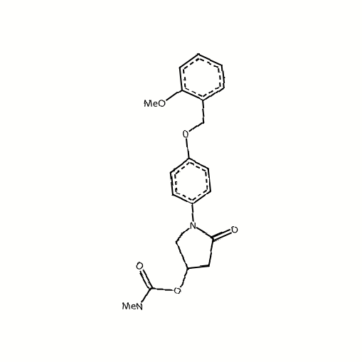 CNC(=O)OC1CC(=O)N(c2ccc(OCc3ccccc3OC)cc2)C1